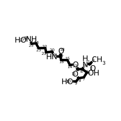 CC(=O)NC1C(O)CC(CO)OC1OCCCC(=O)NCCCCCCNO